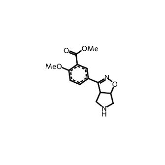 COC(=O)c1cc(C2=NOC3CNCC23)ccc1OC